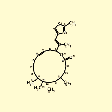 C/C(=C\c1csc(C)n1)C1C/C=C\CCC[C@H](C)[C@H](C)[C@@H](C)C[C@H](C)CCC(=O)O1